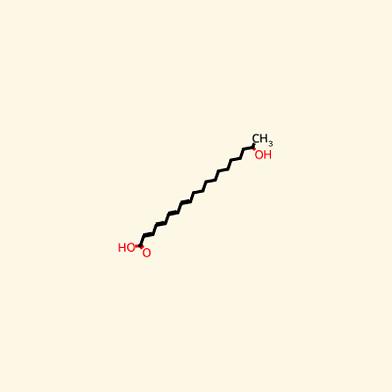 CC(O)CCCCCCCCCC=CC=CC=CC=CC(=O)O